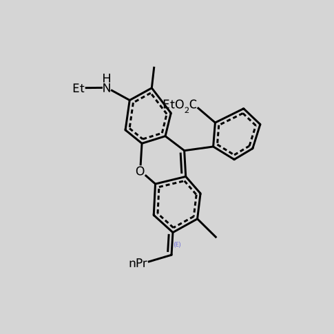 CCC/C=c1\cc2c(cc1C)=C(c1ccccc1C(=O)OCC)c1cc(C)c(NCC)cc1O2